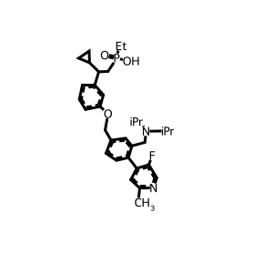 CCP(=O)(O)CC(c1cccc(OCc2ccc(-c3cc(C)ncc3F)c(CN(C(C)C)C(C)C)c2)c1)C1CC1